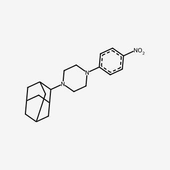 O=[N+]([O-])c1ccc(N2CCN(C3C4CC5CC(C4)CC3C5)CC2)cc1